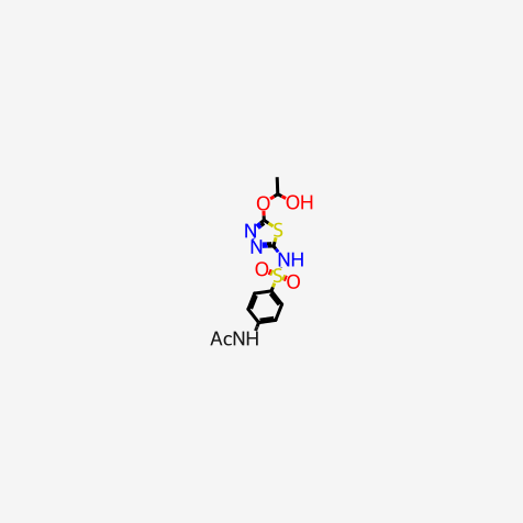 CC(=O)Nc1ccc(S(=O)(=O)Nc2nnc(OC(C)O)s2)cc1